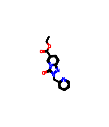 CCOC(=O)c1ccc2nn(Cc3ccccn3)c(=O)n2c1